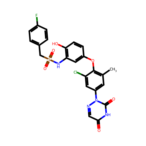 Cc1cc(-n2ncc(=O)[nH]c2=O)cc(Cl)c1Oc1ccc(O)c(NS(=O)(=O)Cc2ccc(F)cc2)c1